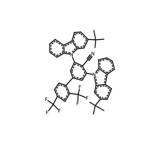 CC(C)(C)c1ccc2c3ccccc3n(-c3cc(-c4ccc(C(F)(F)F)cc4C(F)(F)F)cc(-n4c5ccccc5c5ccc(C(C)(C)C)cc54)c3C#N)c2c1